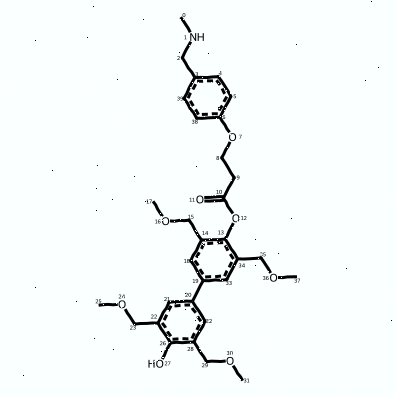 CNCc1ccc(OCCC(=O)Oc2c(COC)cc(-c3cc(COC)c(O)c(COC)c3)cc2COC)cc1